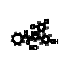 Cl.O=C(NN1CCCCCCC1)C1=NN(c2ccc(Cl)cc2Cl)C(c2ccc(O)cc2)C1